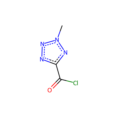 Cn1nnc(C(=O)Cl)n1